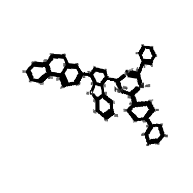 c1ccc(C2=NC(c3ccc(-c4ccc5c(ccc6ccccc65)c4)c4oc5ccccc5c34)NC(c3ccc(-c4ccccc4)cc3)=N2)cc1